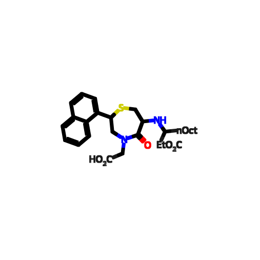 CCCCCCCCC(NC1CSC(c2cccc3ccccc23)CN(CC(=O)O)C1=O)C(=O)OCC